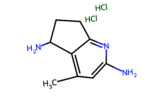 Cc1cc(N)nc2c1C(N)CC2.Cl.Cl